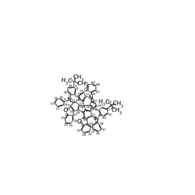 CC(C)(C)c1ccc(N(c2ccccc2)c2cc3c(c4c2oc2ccccc24)-c2c(cc(N(c4ccccc4)c4ccc(C(C)(C)C)cc4)c4c2oc2ccccc24)C32c3ccccc3-n3c4ccccc4c4cccc2c43)cc1